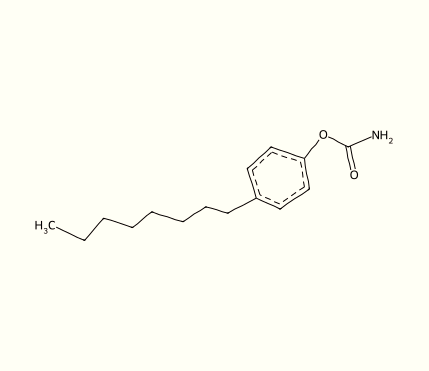 CCCCCCCCc1ccc(OC(N)=O)cc1